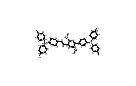 COc1cc(-c2ccc(N(c3ccc(C)cc3)c3ccc(C)cc3)cc2)c(OC)cc1/C=C/c1ccc(N(c2ccc(C)cc2)c2ccc(C)cc2)cc1